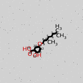 CC(C)=CCC/C(C)=C/COc1ccc(O)c(C(=O)O)c1